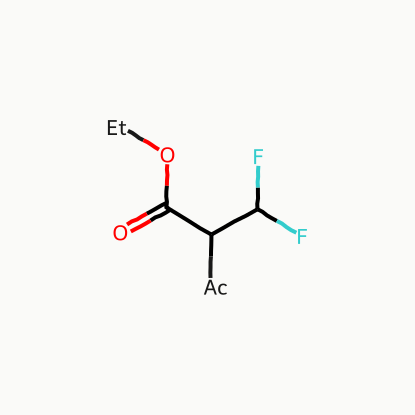 CCOC(=O)C(C(C)=O)C(F)F